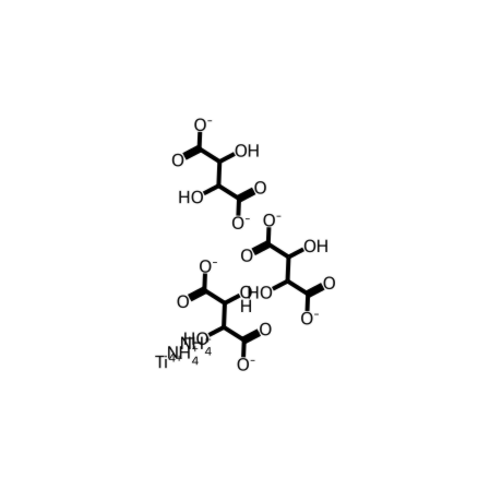 O=C([O-])C(O)C(O)C(=O)[O-].O=C([O-])C(O)C(O)C(=O)[O-].O=C([O-])C(O)C(O)C(=O)[O-].[NH4+].[NH4+].[Ti+4]